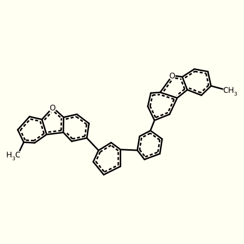 Cc1ccc2oc3ccc(-c4cccc(-c5cccc(-c6ccc7oc8ccc(C)cc8c7c6)c5)c4)cc3c2c1